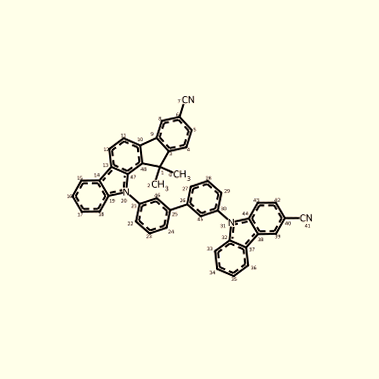 CC1(C)c2ccc(C#N)cc2-c2ccc3c4ccccc4n(-c4cccc(-c5cccc(-n6c7ccccc7c7cc(C#N)ccc76)c5)c4)c3c21